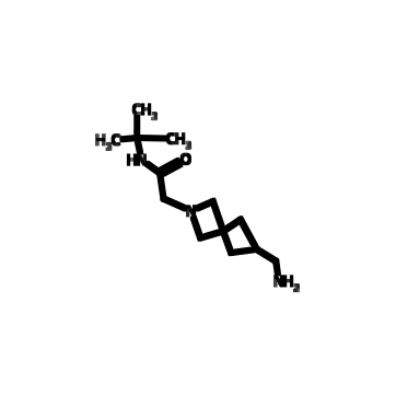 CC(C)(C)NC(=O)CN1CC2(CC(CN)C2)C1